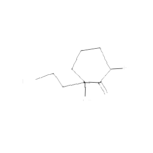 CCCC1(C)CCCC(Br)C1=O